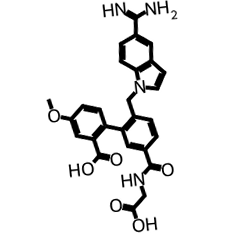 COc1ccc(-c2cc(C(=O)NCC(=O)O)ccc2Cn2ccc3cc(C(=N)N)ccc32)c(C(=O)O)c1